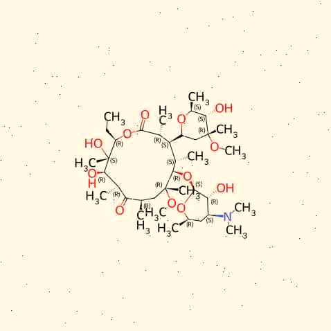 CC[C@H]1OC(=O)[C@H](C)[C@@H](C2C[C@@](C)(OC)[C@@H](O)[C@H](C)O2)[C@H](C)[C@@H](O[C@@H]2O[C@H](C)C[C@H](N(C)C)[C@H]2O)[C@](C)(OC)C[C@@H](C)C(=O)[C@H](C)[C@@H](O)[C@]1(C)O